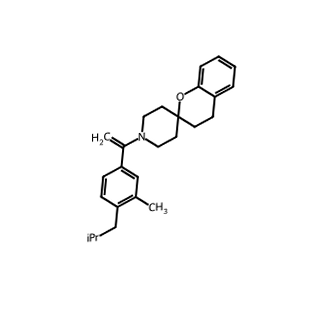 C=C(c1ccc(CC(C)C)c(C)c1)N1CCC2(CCc3ccccc3O2)CC1